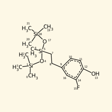 C[Si](C)(C)O[Si](C)(CCc1ccc(O)c(F)c1)O[Si](C)(C)C